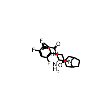 N[C@H](Cc1cc(F)c(F)cc1F)C1CC2CCC(C1)N2C(=O)CNC(=O)C1CC1